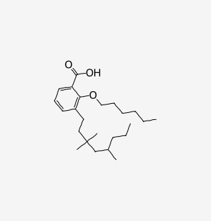 CCCCCCOc1c(CCC(C)(C)CC(C)CCC)cccc1C(=O)O